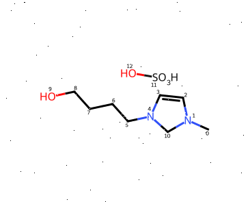 CN1C=CN(CCCCO)C1.O=S(=O)(O)O